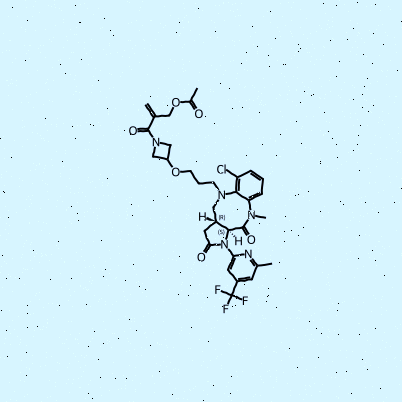 C=C(COC(C)=O)C(=O)N1CC(OCCCN2C[C@H]3CC(=O)N(c4cc(C(F)(F)F)cc(C)n4)[C@@H]3C(=O)N(C)c3cccc(Cl)c32)C1